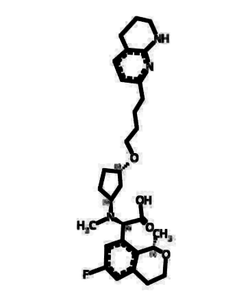 C[C@@H]1OCCc2cc(F)cc([C@H](C(=O)O)N(C)[C@H]3CC[C@H](OCCCCc4ccc5c(n4)NCCC5)C3)c21